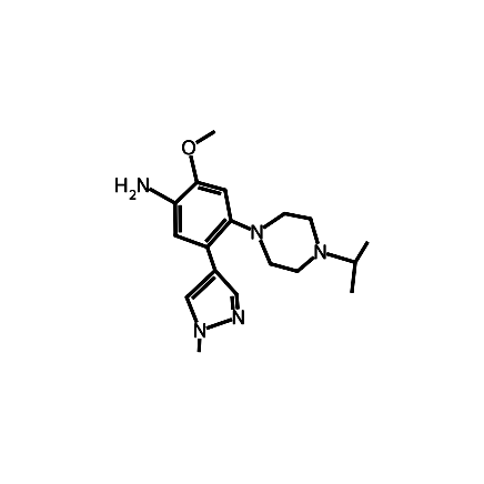 COc1cc(N2CCN(C(C)C)CC2)c(-c2cnn(C)c2)cc1N